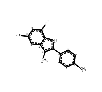 Cc1ccc(-c2[nH]c3c(F)cc(F)cc3c2C)cc1